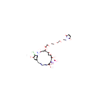 COc1cc2cc(c1Cl)N(C)C(=O)C[C@H](OC(=O)[C@H](C)OCCOCCOCCN1C(=O)C=CC1=O)[C@@]1(C)CC(C)(O1)C1C[C@@](O)(NC(=O)O1)[C@H](OC)/C=C/C=C(\C)C2